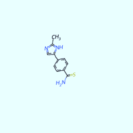 Cc1ncc(-c2ccc(C(N)=S)cc2)[nH]1